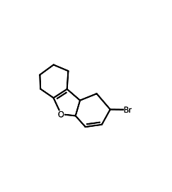 BrC1C=CC2OC3=C(CCCC3)C2C1